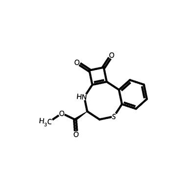 COC(=O)[C@@H]1CSc2ccccc2-c2c(c(=O)c2=O)N1